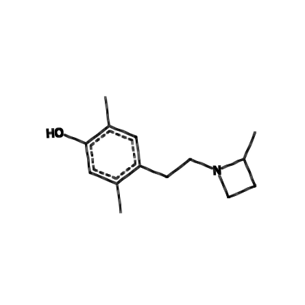 Cc1cc(CCN2CCC2C)c(C)cc1O